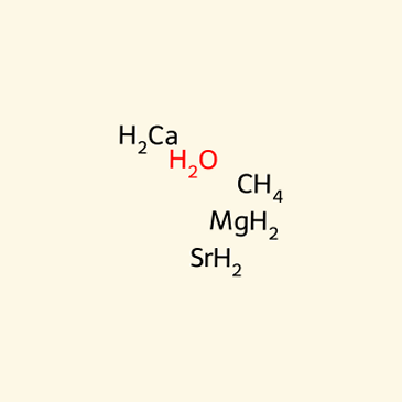 C.O.[CaH2].[MgH2].[SrH2]